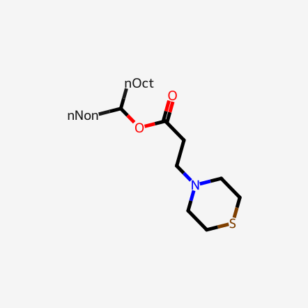 CCCCCCCCCC(CCCCCCCC)OC(=O)CCN1CCSCC1